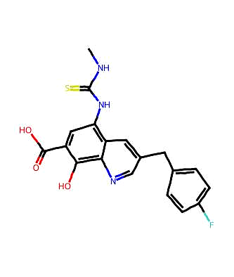 CNC(=S)Nc1cc(C(=O)O)c(O)c2ncc(Cc3ccc(F)cc3)cc12